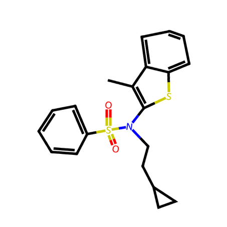 Cc1c(N(CCC2CC2)S(=O)(=O)c2ccccc2)sc2ccccc12